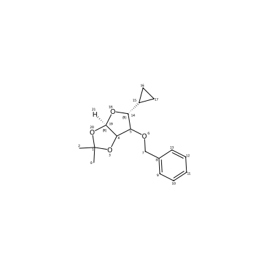 CC1(C)OC2C(OCc3ccccc3)[C@@H](C3CC3)O[C@@H]2O1